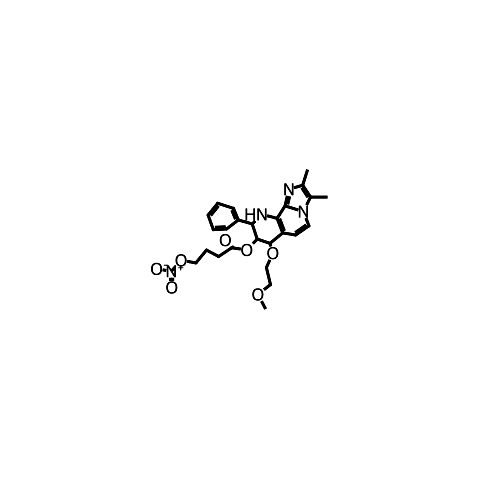 COCCOC1c2ccn3c(C)c(C)nc3c2NC(c2ccccc2)C1OC(=O)CCCO[N+](=O)[O-]